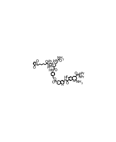 CCCN(CCC)C(=O)C1=Cc2cc(F)c(C(=O)Nc3cnc4c(c3)CN(C(=O)OCc3ccc(NC(=O)C(CCCNC(N)=O)NC(=O)[C@@H](NC(=O)CCCCCN5C(=O)C=CC5=O)C(C)C)cc3)CC4)cc2N=C(N)C1